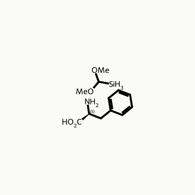 COC([SiH3])OC.N[C@@H](Cc1ccccc1)C(=O)O